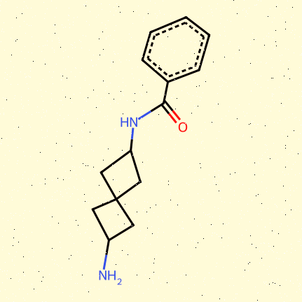 NC1CC2(C1)CC(NC(=O)c1ccccc1)C2